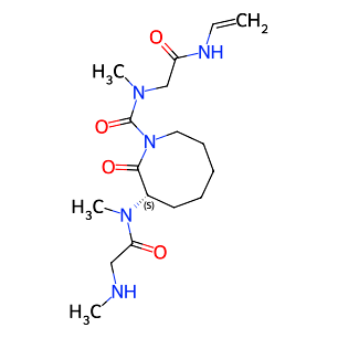 C=CNC(=O)CN(C)C(=O)N1CCCCC[C@H](N(C)C(=O)CNC)C1=O